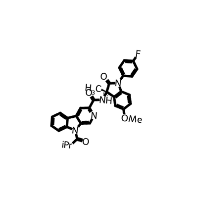 COc1ccc2c(c1)[C@](C)(NC(=O)c1cc3c4ccccc4n(C(=O)C(C)C)c3cn1)C(=O)N2c1ccc(F)cc1